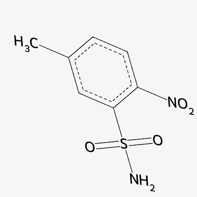 Cc1ccc([N+](=O)[O-])c(S(N)(=O)=O)c1